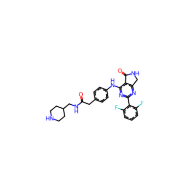 O=C(Cc1ccc(Nc2nc(-c3c(F)cccc3F)nc3c2C(=O)NC3)cc1)NCC1CCNCC1